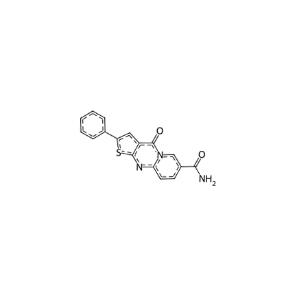 NC(=O)c1ccc2nc3sc(-c4ccccc4)cc3c(=O)n2c1